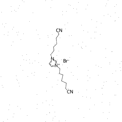 N#CCCCCCCn1cc[n+](CCCCCCC#N)c1.[Br-]